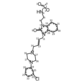 CS(=O)(=O)NCCn1c(=O)n(CC=CCN2CCN(c3cccc(Cl)c3)CC2)c2ccccc21